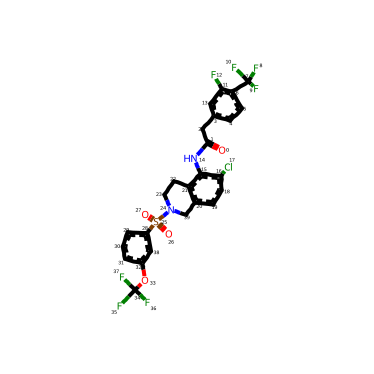 O=C(Cc1ccc(C(F)(F)F)c(F)c1)Nc1c(Cl)ccc2c1CCN(S(=O)(=O)c1cccc(OC(F)(F)F)c1)C2